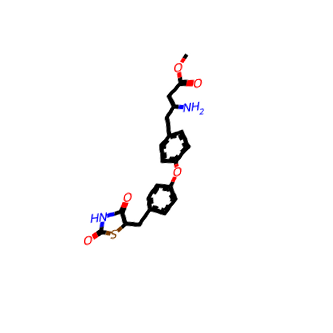 COC(=O)CC(N)Cc1ccc(Oc2ccc(CC3SC(=O)NC3=O)cc2)cc1